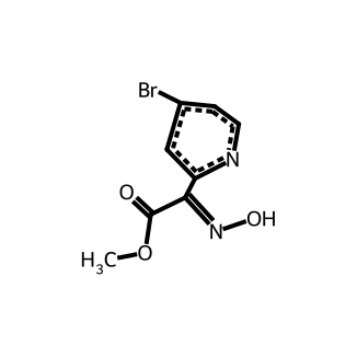 COC(=O)/C(=N/O)c1cc(Br)ccn1